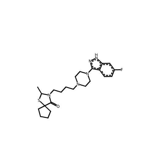 CC1SC2(CCCC2)C(=O)N1CCCCN1CCN(c2n[nH]c3cc(F)ccc23)CC1